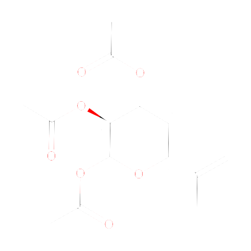 C=C(C)[C@@H]1OC(OC(C)=O)[C@@H](OC(C)=O)[C@H](OC(C)=O)[C@@H]1C